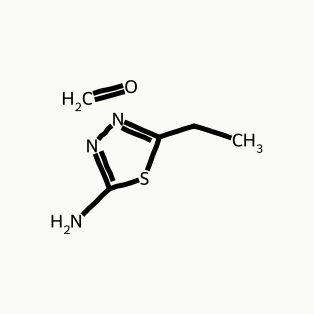 C=O.CCc1nnc(N)s1